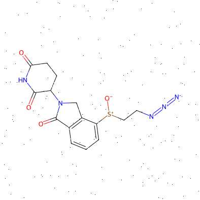 [N-]=[N+]=NCC[S+]([O-])c1cccc2c1CN(C1CCC(=O)NC1=O)C2=O